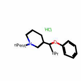 CCCCCN1CCCC(C(CCC)Oc2ccccc2)C1.Cl